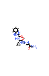 CC(C)(C)CC(NC(=O)c1nc2ccccc2[nH]1)C(=O)NNCCC(N)=O